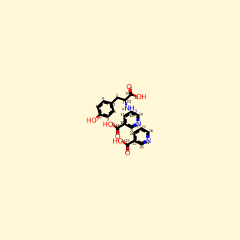 N[C@@H](Cc1ccc(O)cc1)C(=O)O.O=C(O)c1cccnc1.O=C(O)c1cccnc1